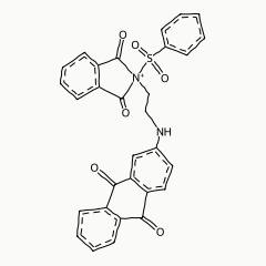 O=C1c2ccccc2C(=O)c2cc(NCC[N+]3(S(=O)(=O)c4ccccc4)C(=O)c4ccccc4C3=O)ccc21